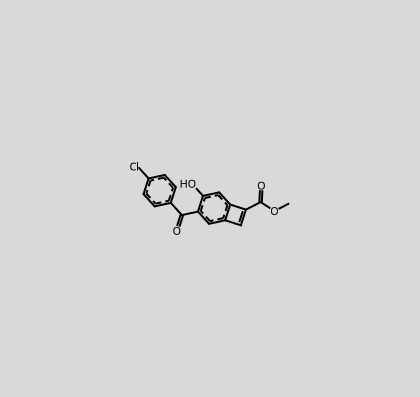 COC(=O)C1=Cc2cc(C(=O)c3ccc(Cl)cc3)c(O)cc21